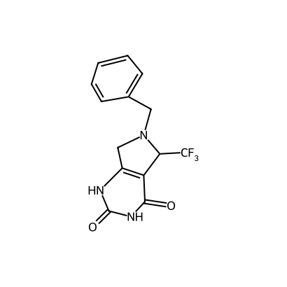 O=c1[nH]c2c(c(=O)[nH]1)C(C(F)(F)F)N(Cc1ccccc1)C2